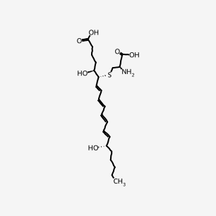 CCCCC[C@H](O)C=CC=CC=CC=C[C@@H](SC[C@H](N)C(=O)O)[C@@H](O)CCCC(=O)O